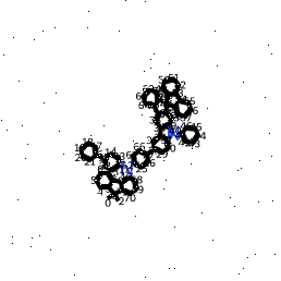 CC1(C)c2ccccc2-c2c(N(c3ccc(-c4ccccc4)cc3)c3ccc(-c4ccc5c(c4)c4cc6c(cc4n5-c4ccccc4)C4(c5ccccc5-c5ccccc54)c4ccccc4-6)cc3)cccc21